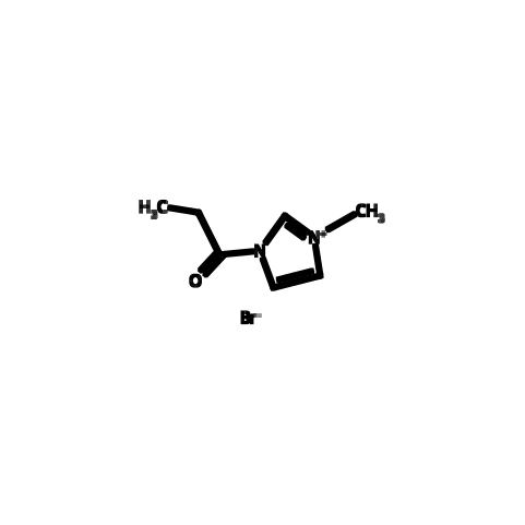 CCC(=O)n1cc[n+](C)c1.[Br-]